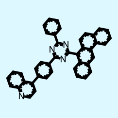 c1ccc(-c2nc(-c3ccc(-c4ccnc5ccccc45)cc3)nc(-c3c4ccccc4cc4c3ccc3ccccc34)n2)cc1